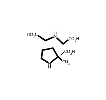 C[C@]1(C(=O)O)CCCN1.O=C(O)CNCC(=O)O